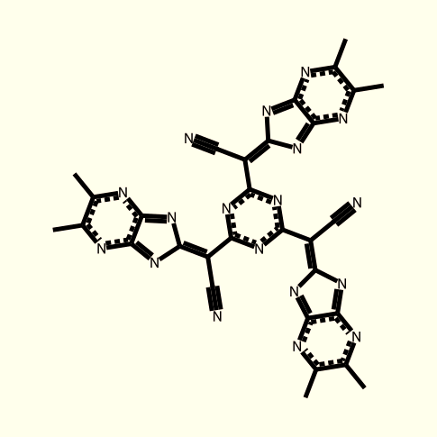 Cc1nc2c(nc1C)=NC(=C(C#N)c1nc(C(C#N)=C3N=c4nc(C)c(C)nc4=N3)nc(C(C#N)=C3N=c4nc(C)c(C)nc4=N3)n1)N=2